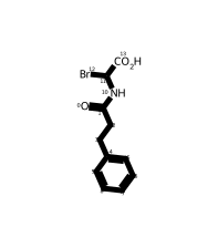 O=C(CCc1ccccc1)NC(Br)C(=O)O